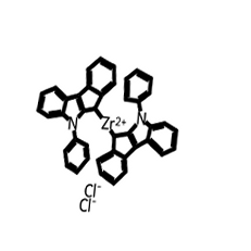 [Cl-].[Cl-].c1ccc(-n2c3c(c4ccccc42)-c2ccccc2[CH]3[Zr+2][CH]2c3ccccc3-c3c2n(-c2ccccc2)c2ccccc32)cc1